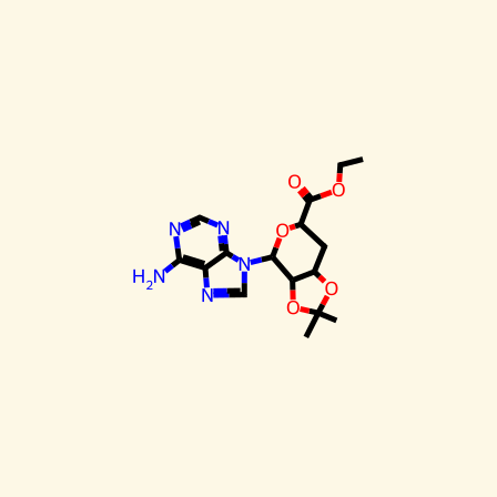 CCOC(=O)C1CC2OC(C)(C)OC2C(n2cnc3c(N)ncnc32)O1